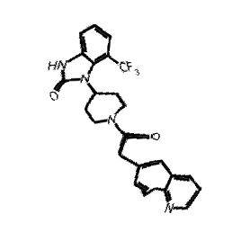 O=C(Cc1ccc2ncccc2c1)N1CCC(n2c(=O)[nH]c3cccc(C(F)(F)F)c32)CC1